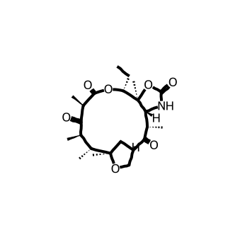 CC[C@H]1OC(=O)[C@H](C)C(=O)[C@H](C)[C@@H](C)[C@@]2(C)C[C@@H](CO2)C(=O)[C@@H](C)[C@H]2NC(=O)O[C@@]21C